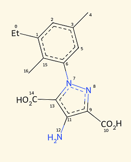 CCc1cc(C)cc(-n2nc(C(=O)O)c(N)c2C(=O)O)c1C